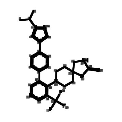 CC(C)n1cc(-c2ccc(-c3cncc(C(F)(F)F)c3N3CCC4(CC3)CNC(=O)O4)cc2)cn1